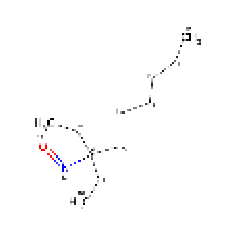 CCCCCCC(CC)(CC)N=O